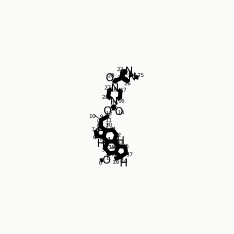 COC1C[C@H]2[C@@H]3CC[C@H]([C@H](C)COC(=O)N4CCN(C(=O)c5cnn(C)c5)CC4)[C@@]3(C)CC[C@@H]2[C@@]2(C)CC[C@@H]3C[C@@]132